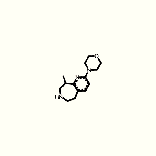 CC1CNCCc2ccc(N3CCOCC3)nc21